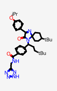 CC(C)Oc1ccc(C2=NC3(CCC(C(C)(C)C)CC3)N(C(CCC(C)(C)C)c3ccc(C(=O)NCc4nn[nH]n4)cc3)C2=O)cc1